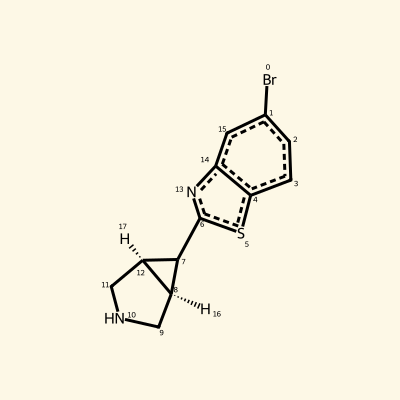 Brc1ccc2sc(C3[C@H]4CNC[C@@H]34)nc2c1